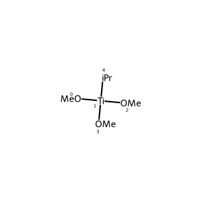 C[O][Ti]([O]C)([O]C)[CH](C)C